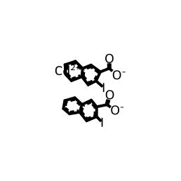 O=C([O-])c1cc2ccccc2cc1I.O=C([O-])c1cc2ccccc2cc1I.[Cd+2]